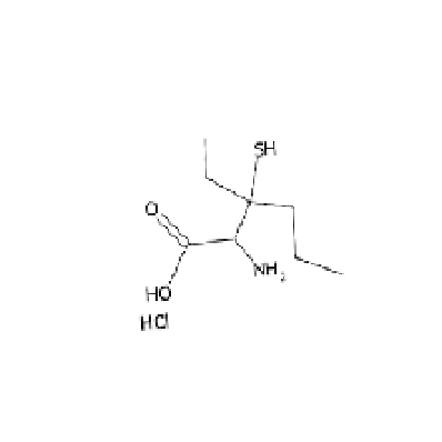 CCCC(S)(CC)C(N)C(=O)O.Cl